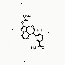 COC(=O)Oc1cn2ncnc(C3C(=O)Nc4ccc(C(N)=O)cc43)c2c1C